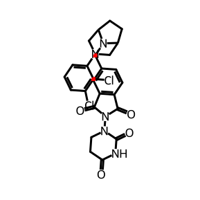 O=C1CCN(N2C(=O)c3ccc(CN4C5CCC4CN(c4cccc(Cl)c4Cl)C5)cc3C2=O)C(=O)N1